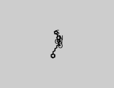 O=C(CCCCCc1ccccc1)c1nc2ncc(-c3cccs3)cc2o1